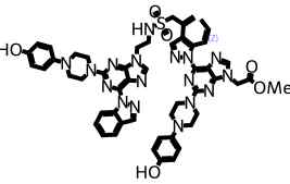 C=C(CS(=O)(=O)NCCn1cnc2c(-n3ncc4ccccc43)nc(N3CCN(c4ccc(O)cc4)CC3)nc21)c1cnn(-c2nc(N3CCN(c4ccc(O)cc4)CC3)nc3c2ncn3CC(=O)OC)c1/C=C\C